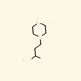 CC(C)CCN1CCN[C@H](C)C1